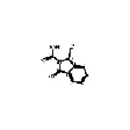 O=C(O)N1C(=O)c2ccccc2C1F